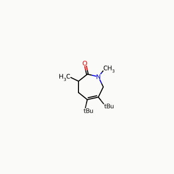 CC1CC(C(C)(C)C)=C(C(C)(C)C)CN(C)C1=O